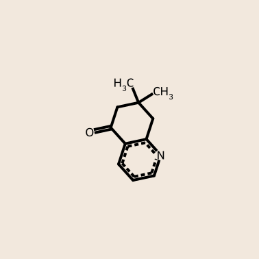 CC1(C)CC(=O)c2cccnc2C1